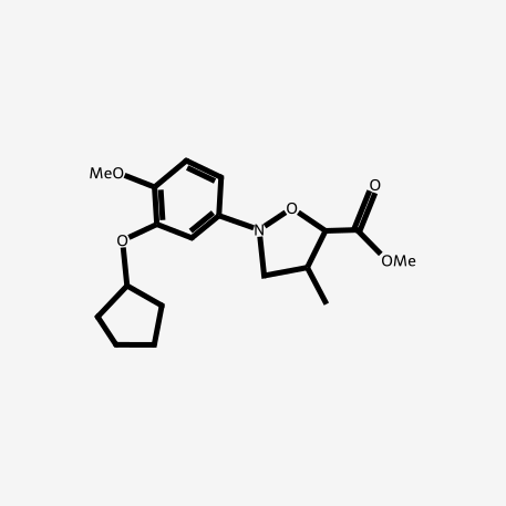 COC(=O)C1ON(c2ccc(OC)c(OC3CCCC3)c2)CC1C